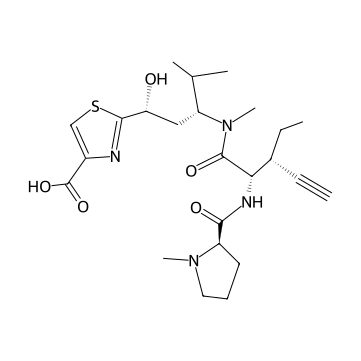 C#C[C@@H](CC)[C@H](NC(=O)[C@H]1CCCN1C)C(=O)N(C)[C@H](C[C@@H](O)c1nc(C(=O)O)cs1)C(C)C